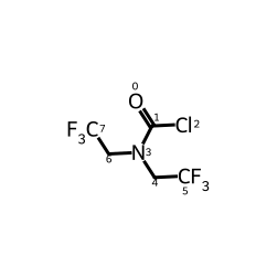 O=C(Cl)N(CC(F)(F)F)CC(F)(F)F